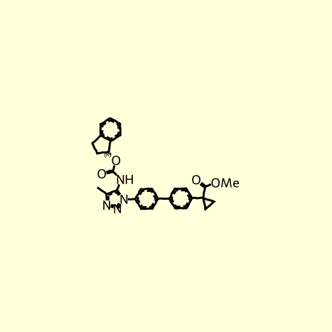 COC(=O)C1(c2ccc(-c3ccc(-n4nnc(C)c4NC(=O)O[C@@H]4CCc5ccccc54)cc3)cc2)CC1